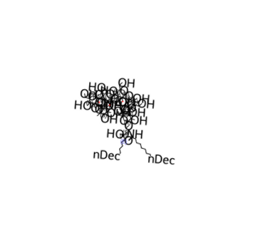 CCCCCCCCCCCCC/C=C/[C@@H](O)[C@H](CO[C@@H]1OC(CO)[C@@H](O[C@@H]2OC(CO)[C@H](O)[C@H](O[C@H]3OC(CO)[C@H](O)[C@H](O[C@@H]4OC(CO)[C@@H](O[C@@H]5OC(CO)[C@H](O)[C@H](O)C5O)[C@H](O[C@H]5OC(C)[C@@H](O)C(O)[C@@H]5O)C4NC(C)=O)C3O)C2O)[C@H](O)C1O)NC(=O)CCCCCCCCCCCCCCCCC